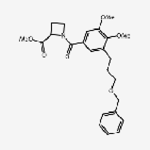 COC(=O)C1CCN1C(=O)c1cc(CCCOCc2ccccc2)c(OC)c(OC)c1